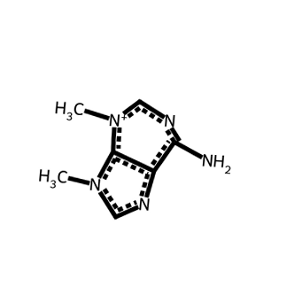 Cn1cnc2c(N)nc[n+](C)c21